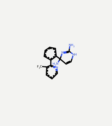 NC1=NC(N)(c2ccccc2-c2ncccc2C(F)(F)F)C=CN1